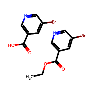 CCOC(=O)c1cncc(Br)c1.O=C(O)c1cncc(Br)c1